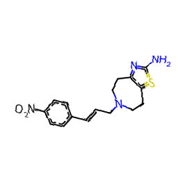 Nc1nc2c(s1)CCN(CC=Cc1ccc([N+](=O)[O-])cc1)CC2